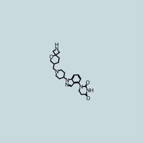 O=C1CCN(c2cccc3c2cnn3C2CCN(CC3CCC4(CNC4)OC3)CC2)C(=O)N1